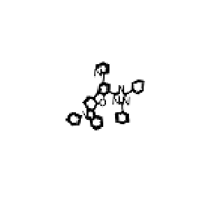 C1=CC2c3cc(-c4ccccn4)cc(-c4nc(-c5ccccc5)nc(-c5ccccc5)n4)c3OC2c2c1n(-c1ccccc1)c1ccccc21